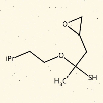 CC(C)CCOC(C)(S)CC1CO1